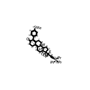 CSc1ccc(C2=C3CC[C@@H]4C(=C3CCC2=O)CC[C@@]2(C)[C@H]4CC[C@@]2(O)C(F)(F)C#C[Si](C(C)C)(C(C)C)C(C)C)cc1